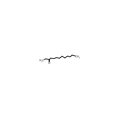 [CH2]CC(=O)CCCCCCCCCC